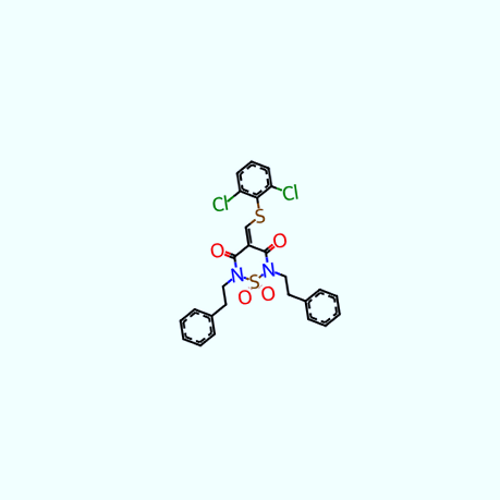 O=C1C(=CSc2c(Cl)cccc2Cl)C(=O)N(CCc2ccccc2)S(=O)(=O)N1CCc1ccccc1